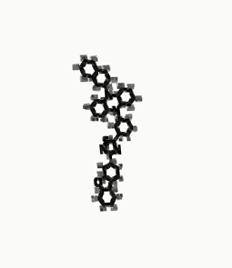 c1cc(-c2nc(-c3ccc4c(c3)oc3ccccc34)ns2)cc(N2c3ccccc3N(c3ccc4ccccc4c3)c3ccccc32)c1